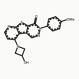 COc1ccc(-n2ncc3c(sc4nccc(N5CC(O)C5)c43)c2=O)cc1